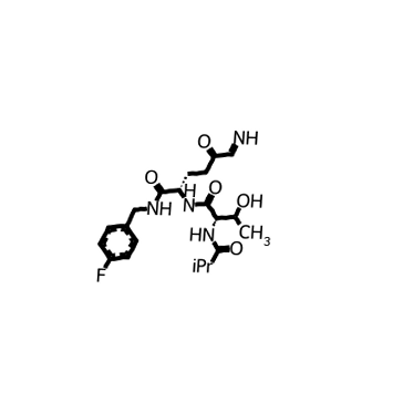 CC(C)C(=O)N[C@H](C(=O)N[C@@H](CCC(=O)C=N)C(=O)NCc1ccc(F)cc1)C(C)O